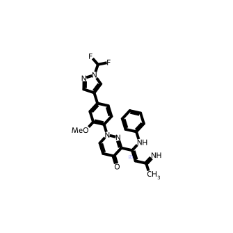 COc1cc(-c2cnn(C(F)F)c2)ccc1-n1ccc(=O)c(/C(=C/C(C)=N)Nc2ccccc2)n1